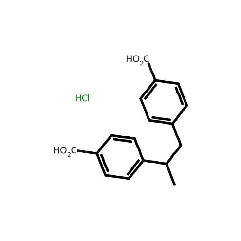 CC(Cc1ccc(C(=O)O)cc1)c1ccc(C(=O)O)cc1.Cl